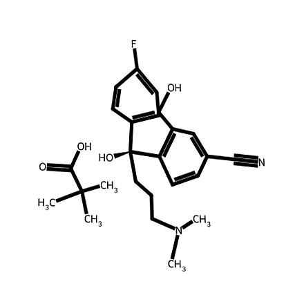 CC(C)(C)C(=O)O.CN(C)CCC[C@](O)(c1ccc(F)cc1)c1ccc(C#N)cc1CO